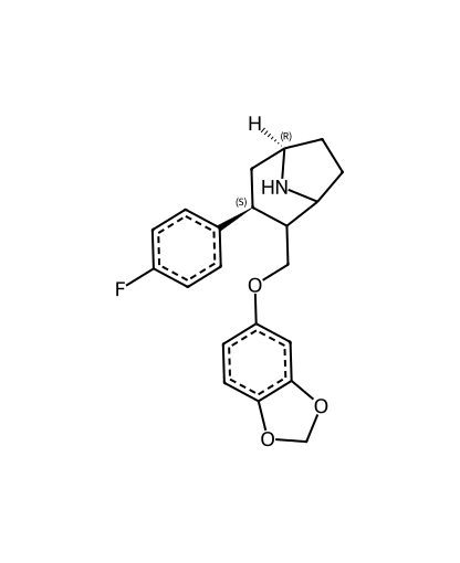 Fc1ccc([C@H]2C[C@H]3CCC(N3)C2COc2ccc3c(c2)OCO3)cc1